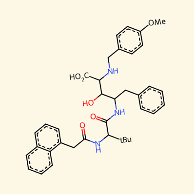 COc1ccc(CNC(C(=O)O)C(O)C(Cc2ccccc2)NC(=O)C(NC(=O)Cc2cccc3ccccc23)C(C)(C)C)cc1